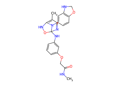 CNC(=O)COc1cccc(NC23N=CC(C)=C(NO2)N3c2ccc3c(c2)NCO3)c1